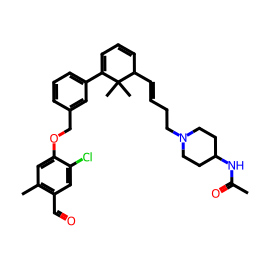 CC(=O)NC1CCN(CC/C=C/C2C=CC=C(c3cccc(COc4cc(C)c(C=O)cc4Cl)c3)C2(C)C)CC1